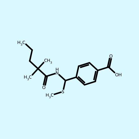 CCCC(C)(C)C(=O)NC(SC)c1ccc(C(=O)O)cc1